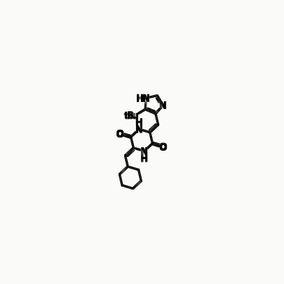 CC(C)(C)c1[nH]cnc1C=c1[nH]c(=O)c(=CC2CCCCC2)[nH]c1=O